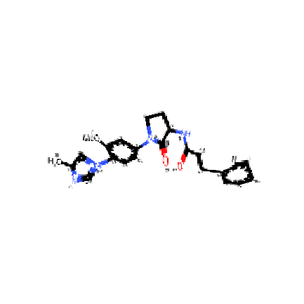 COc1cc(N2CCC(NC(=O)CCc3ccccc3)C2=O)ccc1-n1cnc(C)c1